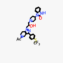 CC(=O)N1CCc2c(c(-c3ccc(SC(F)(F)F)cc3)nn2CC(O)CN2CCC(n3c(=O)[nH]c4ccccc43)CC2)C1